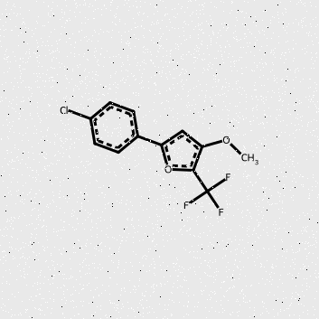 COc1cc(-c2ccc(Cl)cc2)oc1C(F)(F)F